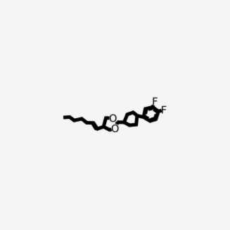 CCCCC/C=C/C1COC(C2CCC(c3ccc(F)c(F)c3)CC2)OC1